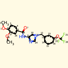 COc1ccc(C(=O)Nc2cn(Cc3cccc(OC(F)(F)F)c3)cn2)cc1OC